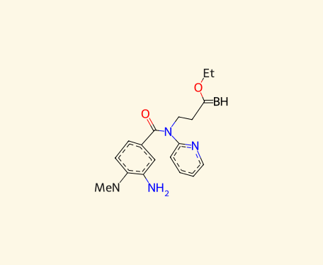 B=C(CCN(C(=O)c1ccc(NC)c(N)c1)c1ccccn1)OCC